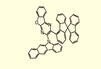 c1ccc2c(c1)-c1ccccc1C21c2ccccc2-c2c(-c3nc4c(nc3-n3c5ccccc5c5cc6ccccc6cc53)oc3ccccc34)cccc21